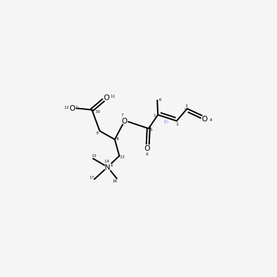 C/C(=C\[C]=O)C(=O)OC(CC(=O)[O-])C[N+](C)(C)C